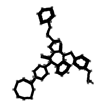 COc1ccc(CN2C(=O)N(CC(=O)OCc3ccccc3)C(=O)N(C3CCN(C4CCCCCCC4)CC3)c3ccccc32)cc1